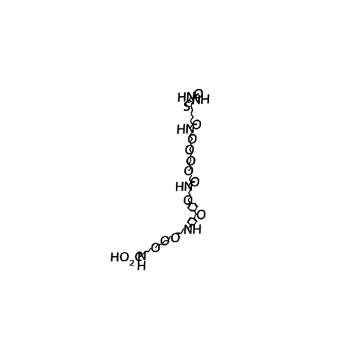 O=C(O)NCCCOCCOCCOCCCNc1ccc(C(=O)c2ccc(OCCCNC(=O)CCOCCOCCOCCOCCNC(=O)CCCCC3SCC4NC(=O)NC43)cc2)cc1